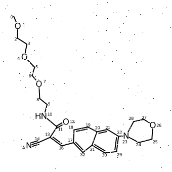 COCCOCCOCCNC(=O)C(C#N)=Cc1ccc2cc(N3CCOCC3)ccc2c1